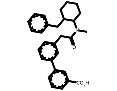 CN(C(=O)Cc1cccc(-c2cccc(C(=O)O)c2)c1)C1CCCCC1Cc1ccccc1